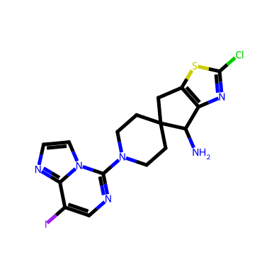 NC1c2nc(Cl)sc2CC12CCN(c1ncc(I)c3nccn13)CC2